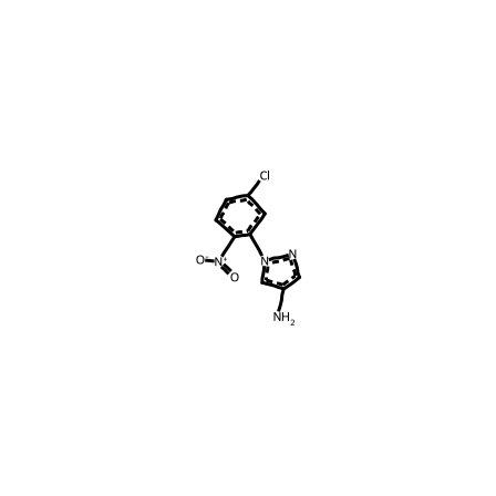 Nc1cnn(-c2cc(Cl)ccc2[N+](=O)[O-])c1